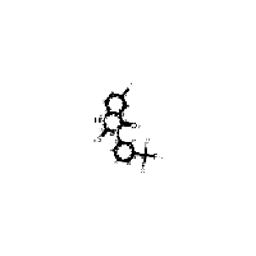 O=c1c2cc(I)ccc2[nH]c(=S)n1-c1cccc(C(F)(F)F)c1